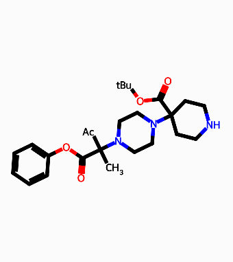 CC(=O)C(C)(C(=O)Oc1ccccc1)N1CCN(C2(C(=O)OC(C)(C)C)CCNCC2)CC1